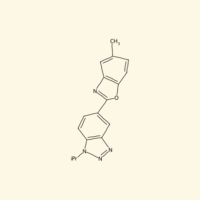 Cc1ccc2oc(-c3ccc4c(c3)nnn4C(C)C)nc2c1